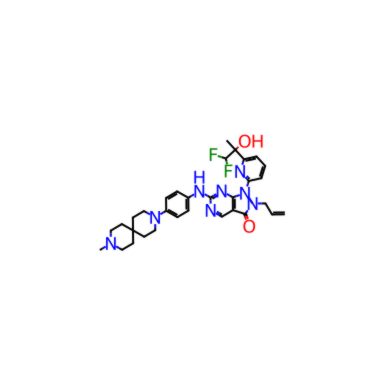 C=CCn1c(=O)c2cnc(Nc3ccc(N4CCC5(CCN(C)CC5)CC4)cc3)nc2n1-c1cccc(C(C)(O)C(F)F)n1